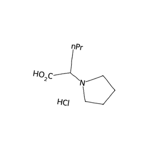 CCCC(C(=O)O)N1CCCC1.Cl